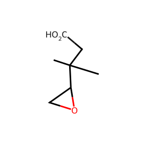 CC(C)(CC(=O)O)C1CO1